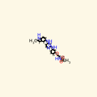 Cc1cc2cc(Nc3ccnc(Nc4cccc(OCCNS(C)(=O)=O)c4)n3)ccc2[nH]1